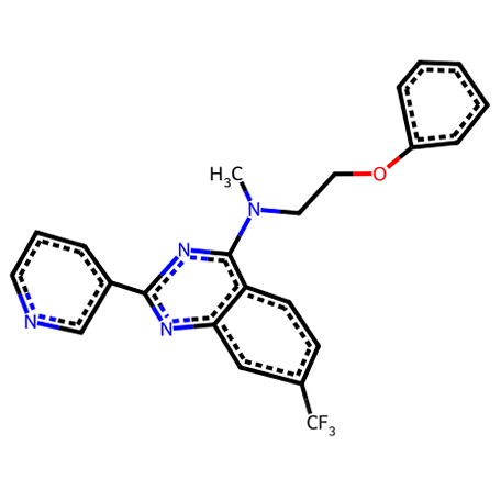 CN(CCOc1ccccc1)c1nc(-c2cccnc2)nc2cc(C(F)(F)F)ccc12